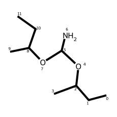 CCC(C)OC(N)OC(C)CC